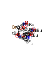 CC(C)(C)OC(=O)[C@@H](Cc1cc(Br)cc(C(F)(F)F)c1)[C@H]1CCN(C(=O)OC(C)(C)C)C1.CC(C)(C)OC(=O)[C@@H](Cc1cccc(Nc2cc(C[C@H](C(=O)OC(C)(C)C)[C@H]3CCN(C(=O)OC(C)(C)C)C3)cc(C(F)(F)F)c2)c1)[C@H]1CCN(C(=O)OC(C)(C)C)C1